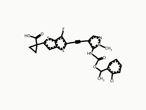 CC(OC(=O)Nc1c(C#Cc2sc3cc(C4(C(=O)O)CC4)sc3c2F)cnn1C)c1ccccc1Cl